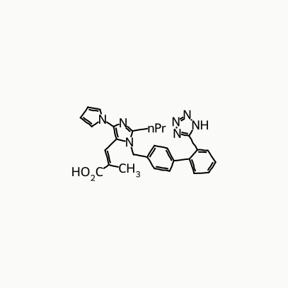 CCCc1nc(-n2cccc2)c(C=C(C)C(=O)O)n1Cc1ccc(-c2ccccc2-c2nnn[nH]2)cc1